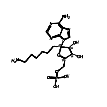 NCCCCCC[C@@]1(n2cnc3c(N)ncnc32)O[C@H](COP(=O)(O)O)[C@@H](O)[C@H]1O